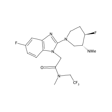 CN[C@@H]1CN(c2nc3cc(F)ccc3n2CC(=O)N(C)CC(F)(F)F)CC[C@H]1F